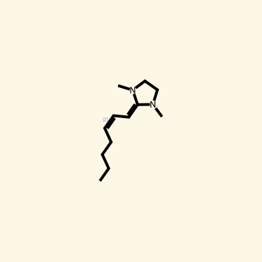 CCCC/C=C\C=C1N(C)CCN1C